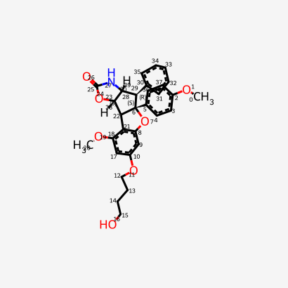 COc1ccc([C@@]23Oc4cc(OCCCCO)cc(OC)c4C2[C@@H]2OC(=O)N[C@@H]2[C@H]3c2ccccc2)cc1